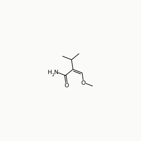 COC=C(C(N)=O)C(C)C